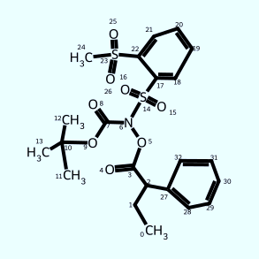 CCC(C(=O)ON(C(=O)OC(C)(C)C)S(=O)(=O)c1ccccc1S(C)(=O)=O)c1ccccc1